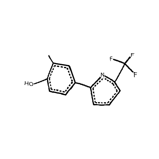 Cc1cc(-c2cccc(C(F)(F)F)n2)ccc1O